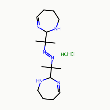 CC(C)(N=NC(C)(C)C1N=CCCCN1)C1N=CCCCN1.Cl.Cl